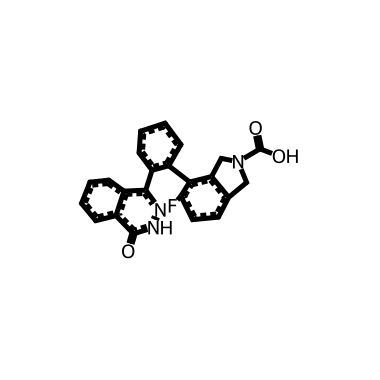 O=C(O)N1Cc2ccc(F)c(-c3ccccc3-c3n[nH]c(=O)c4ccccc34)c2C1